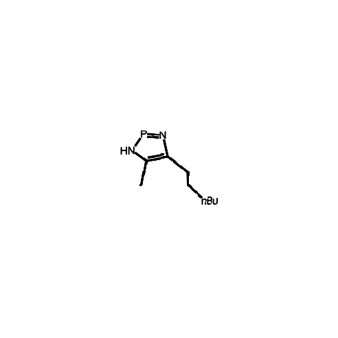 CCCCCCc1np[nH]c1C